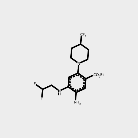 CCOC(=O)c1cc(N)c(NCC(F)F)cc1N1CCC(C(F)(F)F)CC1